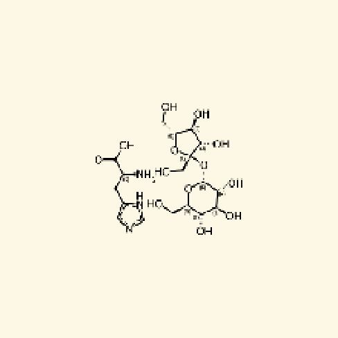 N[C@@H](Cc1cnc[nH]1)C(=O)O.OC[C@H]1O[C@@](CO)(O[C@H]2O[C@H](CO)[C@@H](O)[C@H](O)[C@H]2O)[C@@H](O)[C@@H]1O